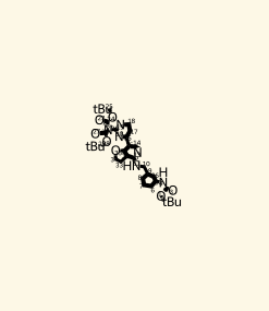 CC(C)(C)OC(=O)Nc1cccc(CNc2ncc(-c3ccnc(N(C(=O)OC(C)(C)C)C(=O)OC(C)(C)C)n3)c3c2CCO3)c1